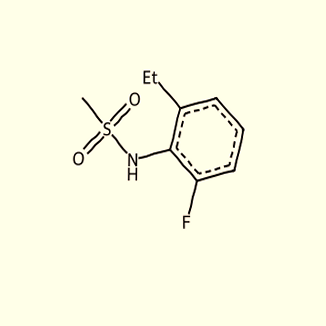 CCc1cccc(F)c1NS(C)(=O)=O